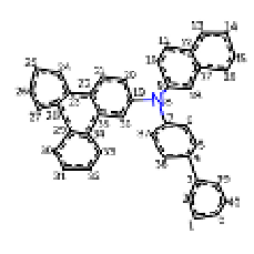 c1ccc(-c2ccc(N(c3ccc4ccccc4c3)c3ccc4c5ccccc5c5ccccc5c4c3)cc2)cc1